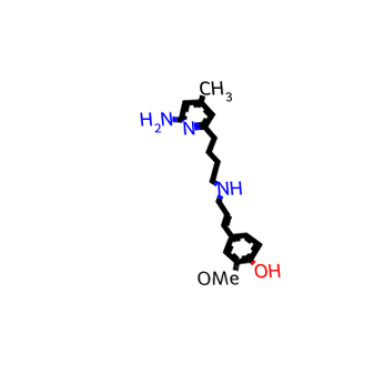 COc1cc(/C=C/CNCCCCc2cc(C)cc(N)n2)ccc1O